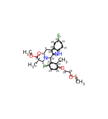 COC(=O)[C@H](C)CN1CCc2c([nH]c3ccc(F)cc23)C1c1c(F)ccc(OCCOSC)c1C